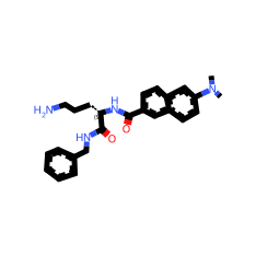 CN(C)c1ccc2cc(C(=O)N[C@@H](CCCN)C(=O)NCc3ccccc3)ccc2c1